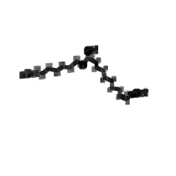 CCCCCCCC/C=C\CCCCCCCC(O)OCCCCCCCCCCCCCCCC